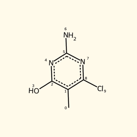 Cc1c(O)nc(N)nc1Cl